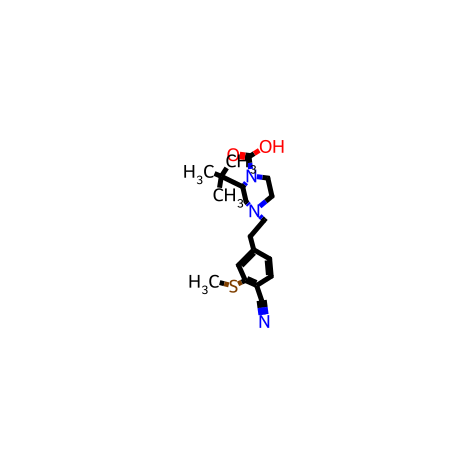 CSc1cc(CCN2CCN(C(=O)O)C(C(C)(C)C)C2)ccc1C#N